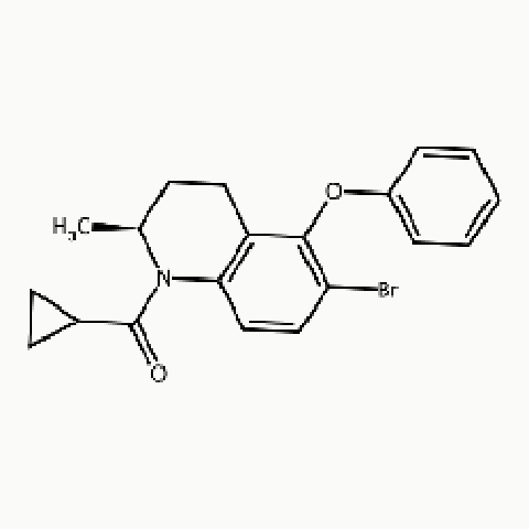 C[C@H]1CCc2c(ccc(Br)c2Oc2ccccc2)N1C(=O)C1CC1